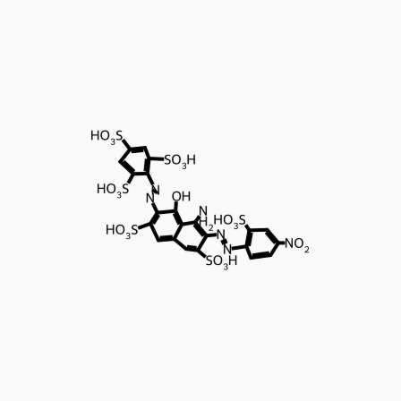 Nc1c(N=Nc2ccc([N+](=O)[O-])cc2S(=O)(=O)O)c(S(=O)(=O)O)cc2cc(S(=O)(=O)O)c(N=Nc3c(S(=O)(=O)O)cc(S(=O)(=O)O)cc3S(=O)(=O)O)c(O)c12